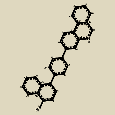 Brc1ccc(-c2ccc(-c3ccc4c(c3)ncc3ccccc34)cc2)c2ccccc12